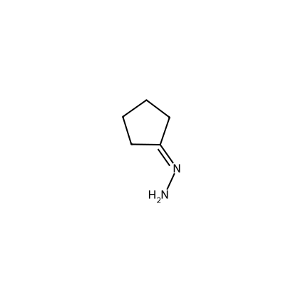 NN=C1CCCC1